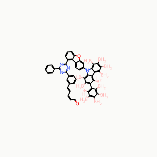 Bc1c(B)c(B)c(-c2c(B)c(B)c3c(c2B)c2c(B)c(B)c(B)c(B)c2n3-c2ccc3c(c2)oc2cccc(-c4nc(-c5ccccc5)nc(-c5cccc(/C=C/C=C\C=O)c5)n4)c23)c(B)c1B